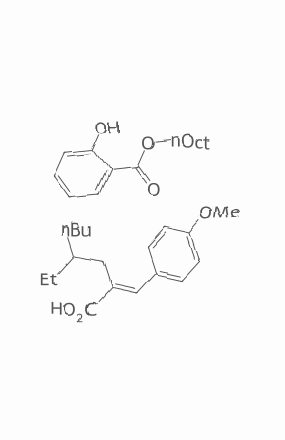 CCCCC(CC)CC(=Cc1ccc(OC)cc1)C(=O)O.CCCCCCCCOC(=O)c1ccccc1O